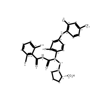 O=C(NC(=O)N(SN1CCC[C@H]1C(=O)O)c1ccc(Oc2ccc(C(F)(F)F)cc2Cl)cc1F)c1c(F)cccc1F